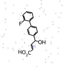 O=C(O)/C=C/C(O)c1ccc(-c2ccccc2F)cc1